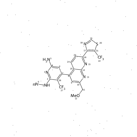 CCCNc1nc(N)cc(-c2cc(COC)nc3nc(-c4ncsc4C(F)(F)F)ccc23)c1C(F)(F)F